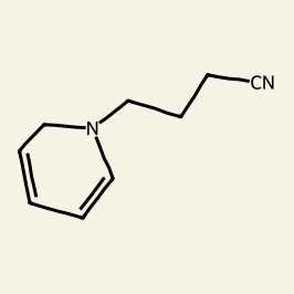 N#CCCCN1C=CC=CC1